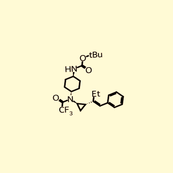 CC/C(=C\c1ccccc1)[C@@H]1C[C@H]1N(C(=O)C(F)(F)F)[C@H]1CC[C@H](NC(=O)OC(C)(C)C)CC1